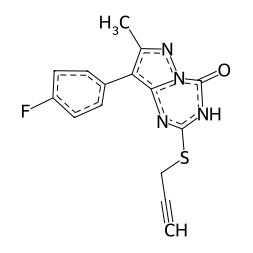 C#CCSc1nc2c(-c3ccc(F)cc3)c(C)nn2c(=O)[nH]1